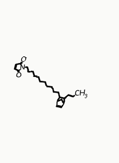 CCCC1C2C=CC(C2)C1CCCCCCCCCCCN1C(=O)C=CC1=O